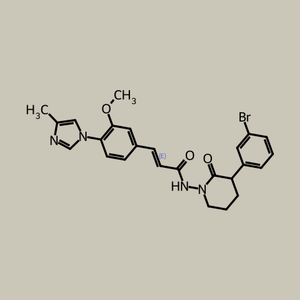 COc1cc(/C=C/C(=O)NN2CCCC(c3cccc(Br)c3)C2=O)ccc1-n1cnc(C)c1